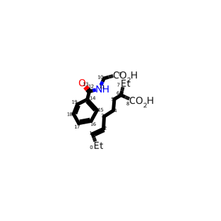 CCC=CCCCC(CC)C(=O)O.O=C(O)CNC(=O)c1ccccc1